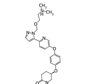 C[SiH](C)CCOCn1nccc1-c1ccc(Oc2ccc(O[C@@H]3CCC(=O)NC3)cc2)cn1